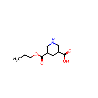 CCCOC(=O)C1CNCC(C(=O)O)C1